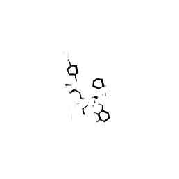 CC[C@H](C)[C@@H](CN(Cc1cccc(Cl)c1Cl)C(=S)Nc1ccccc1C)NC(=O)Cc1cncn1Cc1ccc(C#N)cc1